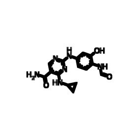 NC(=O)c1cnc(Nc2ccc(NC=O)c(O)c2)nc1NC1CC1